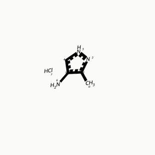 Cc1n[nH]cc1N.Cl